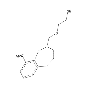 COc1cccc2c1SC(COCCO)CCC2